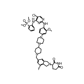 COc1cc(N2CCN(C3CCN(Cc4cc(F)c5c(c4)CN(C4CCC(=O)NC4=O)C5)CC3)CC2)ccc1Nc1ncc(Cl)c(Nc2ccccc2P(=O)(OC)OC)n1